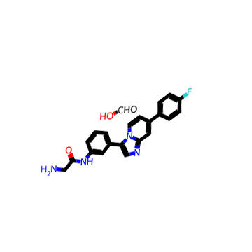 NCC(=O)Nc1cccc(-c2cnc3cc(-c4ccc(F)cc4)ccn23)c1.O=CO